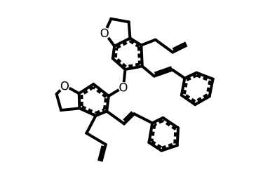 C=CCc1c(C=Cc2ccccc2)c(Oc2cc3c(c(CC=C)c2C=Cc2ccccc2)CCO3)cc2c1CCO2